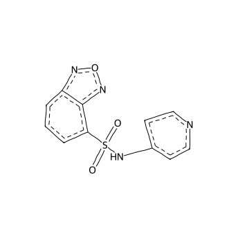 O=S(=O)(Nc1ccncc1)c1cccc2nonc12